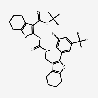 CC(C)(C)OC(=O)c1c(NC(=O)NCc2c(-c3cc(F)cc(C(F)(F)F)c3)sc3c2CCCC3)sc2c1CCCC2